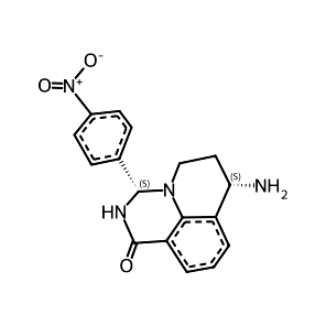 N[C@H]1CCN2c3c(cccc31)C(=O)N[C@@H]2c1ccc([N+](=O)[O-])cc1